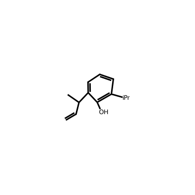 C=CC(C)c1cccc(C(C)C)c1O